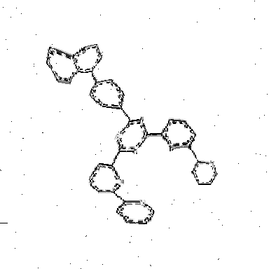 c1ccc(-c2cccc(-c3nc(-c4ccc(-c5cccc6ccccc56)cc4)nc(-c4cccc(-c5ccccn5)n4)n3)n2)nc1